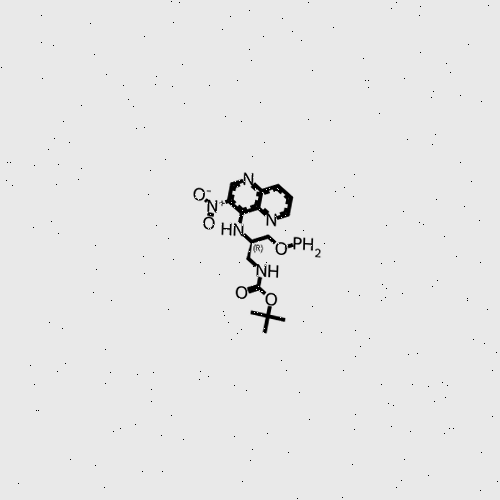 CC(C)(C)OC(=O)NC[C@H](COP)Nc1c([N+](=O)[O-])cnc2cccnc12